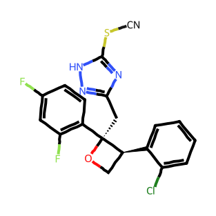 N#CSc1nc(C[C@@]2(c3ccc(F)cc3F)OC[C@@H]2c2ccccc2Cl)n[nH]1